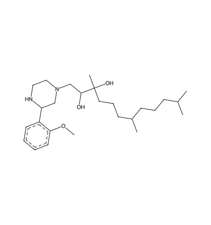 COc1ccccc1C1CN(CC(O)C(C)(O)CCCC(C)CCCC(C)C)CCN1